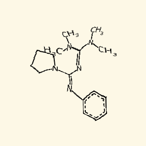 CN(C)C(=NC(=Nc1ccccc1)N1CCCC1)N(C)C